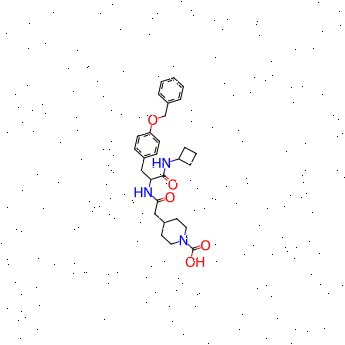 O=C(CC1CCN(C(=O)O)CC1)NC(Cc1ccc(OCc2ccccc2)cc1)C(=O)NC1CCC1